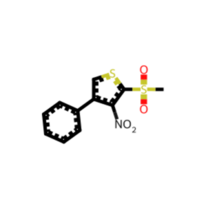 CS(=O)(=O)c1scc(-c2ccccc2)c1[N+](=O)[O-]